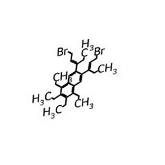 CC/C(=C\CBr)c1cc2c(CC)c(CC)c(CC)c(CC)c2cc1/C(=C/CBr)CC